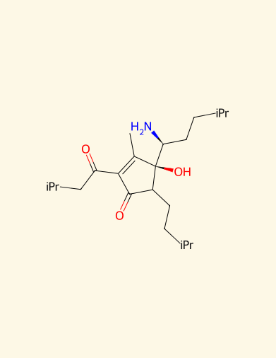 CC1=C(C(=O)CC(C)C)C(=O)C(CCC(C)C)[C@@]1(O)[C@@H](N)CCC(C)C